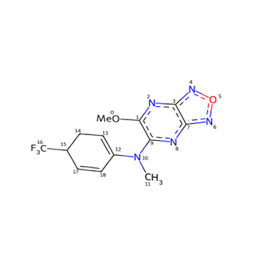 COc1nc2nonc2nc1N(C)C1=CCC(C(F)(F)F)C=C1